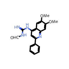 COc1cc2nc(-c3ccccc3)cc(NC(=N)NC=O)c2cc1OC